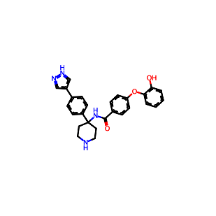 O=C(NC1(c2ccc(-c3cn[nH]c3)cc2)CCNCC1)c1ccc(Oc2ccccc2O)cc1